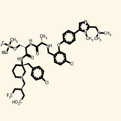 C[C@H](NCc1ccc(Cl)cc1Oc1ccc(-c2cnc(CN(C)C)n2C)cc1)C(=O)N[C@@H](CO[Si](C)(C)C(C)(C)C)C(=O)N[C@@]1(Cc2ccc(Cl)cc2)CCCN(C[C@@H](CC(=O)O)CC(F)(F)F)C1